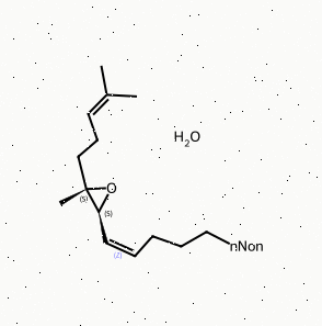 CCCCCCCCCCCC/C=C\[C@@H]1O[C@@]1(C)CCC=C(C)C.O